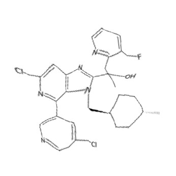 CC(O)(c1ncccc1F)c1nc2cc(Cl)nc(-c3cncc(Cl)c3)c2n1C[C@H]1CC[C@H](C)CC1